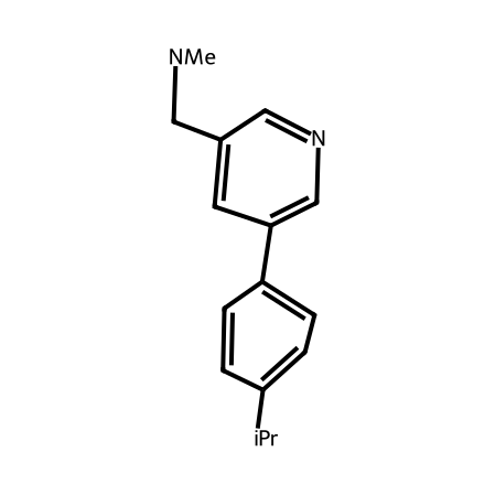 CNCc1cncc(-c2ccc(C(C)C)cc2)c1